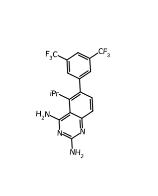 CC(C)c1c(-c2cc(C(F)(F)F)cc(C(F)(F)F)c2)ccc2nc(N)nc(N)c12